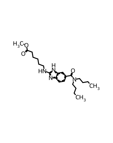 CCCCN(CCCC)C(=O)c1ccc2nc(NCCCCCC(=O)OC)[nH]c2c1